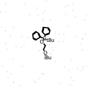 CCC(C)OCCO[Si](c1ccccc1)(c1ccccc1)C(C)(C)C